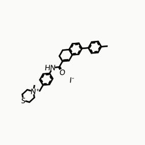 Cc1ccc(-c2ccc3c(c2)C=C(C(=O)Nc2ccc(C[N+]4(C)CCSCC4)cc2)CC3)cc1.[I-]